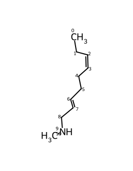 CC/C=C\CC/C=C/CNC